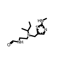 CCC(C)N(CCNC=O)Cc1cnc(NC)s1